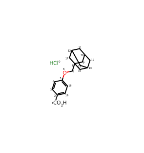 Cl.O=C(O)c1ccc(OCC23CC4CC(CC(C4)C2)C3)cc1